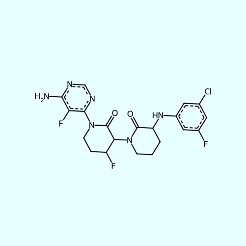 Nc1ncnc(N2CCC(F)C(N3CCCC(Nc4cc(F)cc(Cl)c4)C3=O)C2=O)c1F